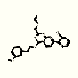 CCOCc1nc(NCCc2cccc(OC)c2)c2ccc(-c3ncccc3Cl)nc2n1